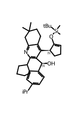 CC(C)c1ccc([C@H](O)c2c(C3CCCC3)nc3c(c2[C@@H]2CCC=C2O[Si](C)(C)C(C)(C)C)CCC(C)(C)C3)cc1